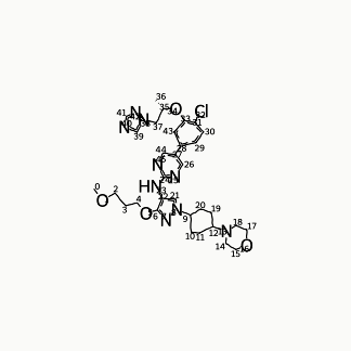 COCCCOc1nn(C2CCC(N3CCOCC3)CC2)cc1Nc1ncc(-c2ccc(Cl)c(O[C@@H](C)Cn3cncn3)c2)cn1